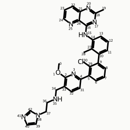 COc1nc(-c2cccc(-c3cccc(Nc4nc(C)nc5cccnc45)c3C)c2Cl)ccc1CNCCn1ccnc1